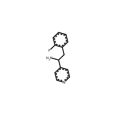 NC(Cc1ccccc1F)c1ccncc1